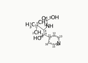 CC(C)(C)C(NC(=O)O)C(O)c1ccncc1